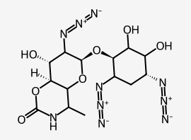 CC1NC(=O)O[C@@H]2C1O[C@H](O[C@@H]1C(N=[N+]=[N-])C[C@@H](N=[N+]=[N-])C(O)C1O)C(N=[N+]=[N-])[C@H]2O